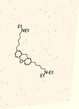 CCN(CC)CCCCCc1ccc2c(c1)Cc1cc(CCCCCN(CC)CC)ccc1O2